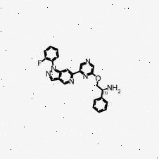 N[C@H](COc1cncc(-c2cc3c(cn2)cnn3-c2ccccc2F)n1)c1ccccc1